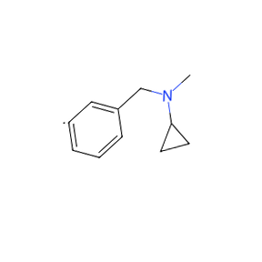 CN(Cc1c[c]ccc1)C1CC1